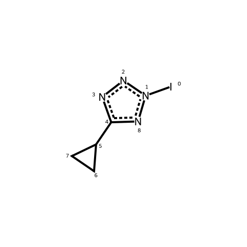 In1nnc(C2CC2)n1